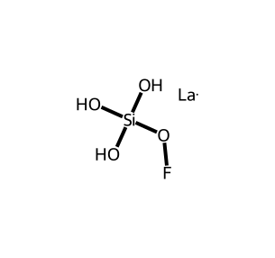 O[Si](O)(O)OF.[La]